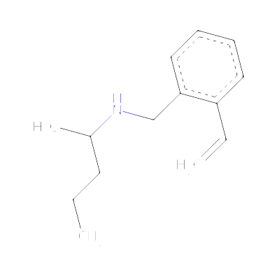 [CH2]CCC(C)NCc1ccccc1C=C